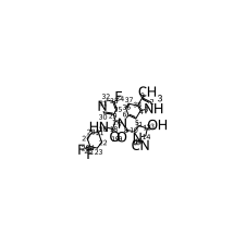 Cc1c[nH]c2cc(N(C(=O)[C@H]3C[C@@H](O)CN3C#N)C(C(=O)NC3CCC(F)(F)CC3)c3cncc(F)c3)ccc12